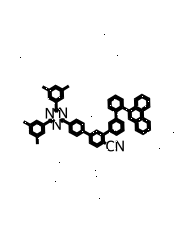 Cc1cc(C)cc(-c2nc(-c3ccc(-c4ccc(C#N)c(-c5cccc(-c6ccccc6-c6cc7ccccc7c7ccccc67)c5)c4)cc3)nc(-c3cc(C)cc(C)c3)n2)c1